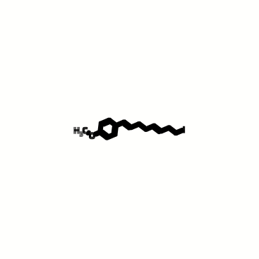 COc1ccc(/C=C/CC/C=C/CCI)cc1